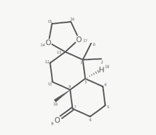 CC1(C)[C@H]2CCCC(=O)[C@]2(C)CCC12OCCO2